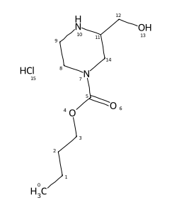 CCCCOC(=O)N1CCNC(CO)C1.Cl